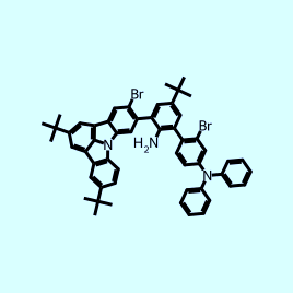 CC(C)(C)c1cc(-c2ccc(N(c3ccccc3)c3ccccc3)cc2Br)c(N)c(-c2cc3c(cc2Br)c2cc(C(C)(C)C)cc4c5cc(C(C)(C)C)ccc5n3c42)c1